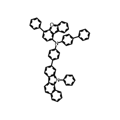 c1ccc(-c2ccc(N(c3ccc(-c4ccc5c6ccc7ccccc7c6n(-c6ccccc6)c5c4)cc3)c3ccc(-c4ccccc4)c4oc5ccccc5c34)cc2)cc1